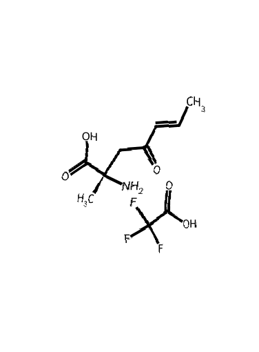 C/C=C/C(=O)C[C@](C)(N)C(=O)O.O=C(O)C(F)(F)F